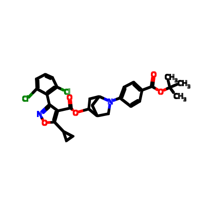 CC(C)(C)OC(=O)c1ccc(N2CC3CC2CC3OC(=O)c2c(-c3c(Cl)cccc3Cl)noc2C2CC2)cc1